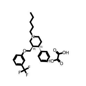 CCCCCN1CC[C@H](c2ccccc2)[C@@H](COc2cccc(C(F)(F)F)c2)C1.O=C(O)C(=O)O